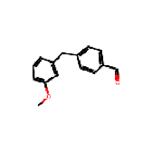 COc1cccc(Cc2ccc(C=O)cc2)c1